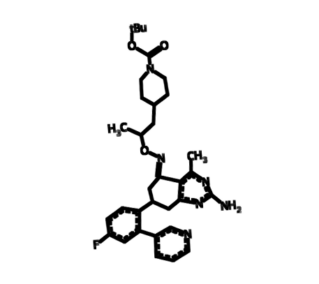 Cc1nc(N)nc2c1C(=NOC(C)CC1CCN(C(=O)OC(C)(C)C)CC1)CC(c1ccc(F)cc1-c1cccnc1)C2